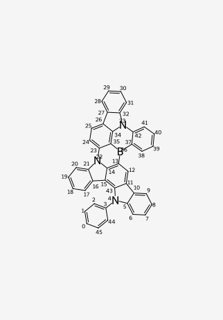 c1ccc(-n2c3ccccc3c3cc4c5c(c6ccccc6n5-c5ccc6c7ccccc7n7c6c5B4c4ccccc4-7)c32)cc1